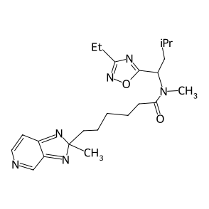 CCc1noc(C(CC(C)C)N(C)C(=O)CCCCCC2(C)N=c3ccncc3=N2)n1